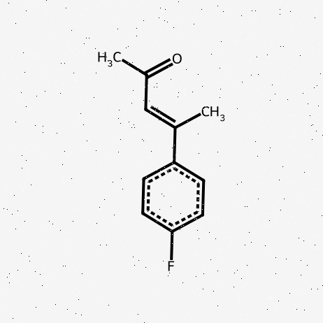 CC(=O)C=C(C)c1ccc(F)cc1